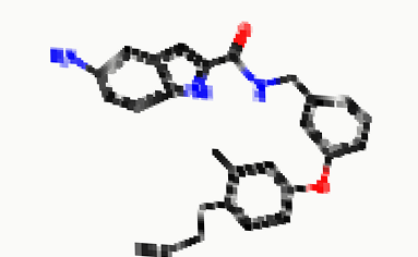 Cc1cc(Oc2cccc(CNC(=O)c3cc4cc(N)ccc4[nH]3)c2)ccc1CCC(=O)O